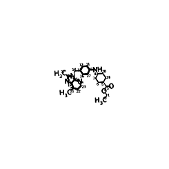 CCOC(=O)[C@H]1CC[C@H](Nc2ccc(Cn3c(C)nc4c(C)ccnc43)cc2)CC1